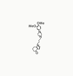 COc1ccc(N2CCN(CCCCn3ccc4c3CCCC4=O)CC2)cc1OC